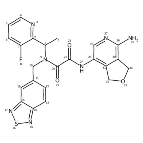 CC(c1ncccc1F)N(Cc1ccc2nsnc2c1)C(=O)C(=O)Nc1cnc(N)c2c1COC2